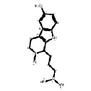 CCCN(CCC)CCCC1c2[nH]c3ccc(OC)cc3c2CCN1C(C)=O